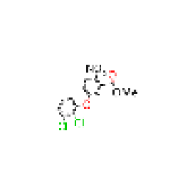 COC(=O)c1cc(Oc2cccc(Cl)c2Cl)ccc1[N+](=O)[O-]